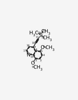 COc1ccc(OC)c2c(C#C[Si](C)(C)C)ccnc12